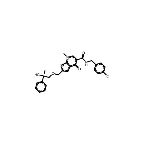 Cn1cc(C(=O)NCc2ccc(Cl)cc2)c(=O)c2cc(COC[C@@](C)(O)c3ccccc3)sc21